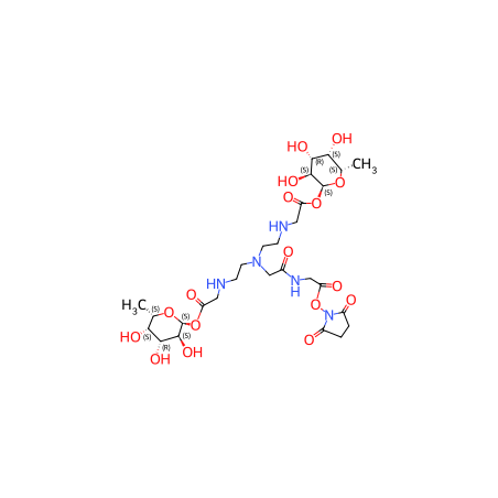 C[C@@H]1O[C@@H](OC(=O)CNCCN(CCNCC(=O)O[C@@H]2O[C@@H](C)[C@@H](O)[C@@H](O)[C@@H]2O)CC(=O)NCC(=O)ON2C(=O)CCC2=O)[C@@H](O)[C@H](O)[C@@H]1O